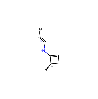 CC/C=C/NC1=CC[C@H]1C